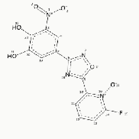 O=[N+]([O-])c1cc(-c2noc(-c3cccc(F)[n+]3[O-])n2)cc(O)c1O